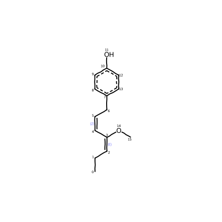 CC/C=C(\C=C/Cc1ccc(O)cc1)OC